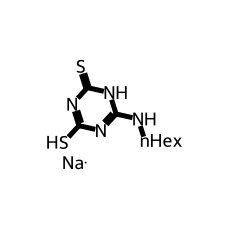 CCCCCCNc1nc(S)nc(=S)[nH]1.[Na]